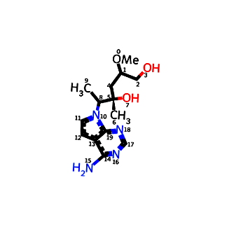 COC(CO)C[C@](C)(O)C(C)n1ccc2c(N)ncnc21